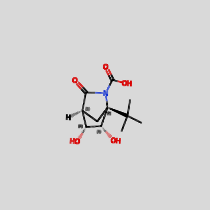 CC(C)(C)[C@@]12C[C@H](C(=O)N1C(=O)O)[C@@H](O)[C@H]2O